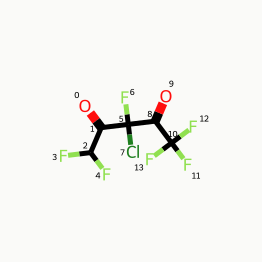 O=C(C(F)F)C(F)(Cl)C(=O)C(F)(F)F